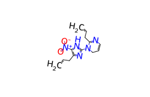 C=CCC1=NC=CCN1c1nc(CC=C)c([N+](=O)[O-])[nH]1